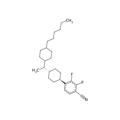 CCCCCCC1CCC(C(C)[C@H]2CC[C@H](c3ccc(C#N)c(F)c3F)CC2)CC1